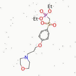 CCOP(=O)(CS(=O)(=O)c1ccc(OCCCN2CCOCC2)cc1)OCC